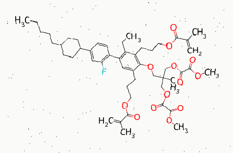 C=C(C)C(=O)OCCCc1cc(-c2ccc(C3CCC(CCCCC)CC3)cc2F)c(CC)c(CCCOC(=O)C(=C)C)c1OCC(C)(COC(=O)C(=O)OC)COC(=O)C(=O)OC